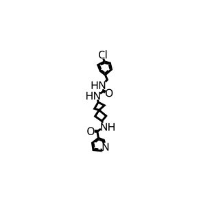 O=C(NCc1ccc(Cl)cc1)NC1CC2(C1)CC(NC(=O)c1cccnc1)C2